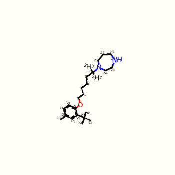 [2H]C([2H])(CCCCCOc1ccc(C)cc1C(C)(C)C)N1CCCNCC1